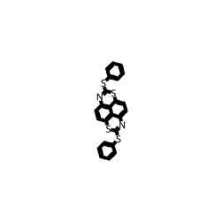 c1ccc(SC2=Nc3ccc4c5c(ccc(c35)S2)N=C(Sc2ccccc2)S4)cc1